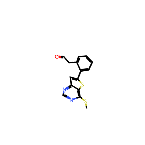 CSc1ncnc2cc(-c3ccccc3CC=O)sc12